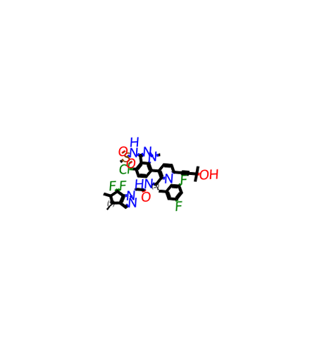 CC1[C@H](C)c2cnn(CC(=O)N[C@@H](Cc3cc(F)cc(F)c3)c3nc(C#CC(C)(C)O)ccc3-c3ccc(Cl)c4c(NS(C)(=O)=O)nn(C)c34)c2C1(F)F